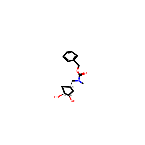 CN(C[C@@H]1C[C@@H](O)[C@@H](O)C1)C(=O)OCc1ccccc1